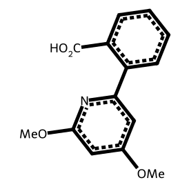 COc1cc(OC)nc(-c2ccccc2C(=O)O)c1